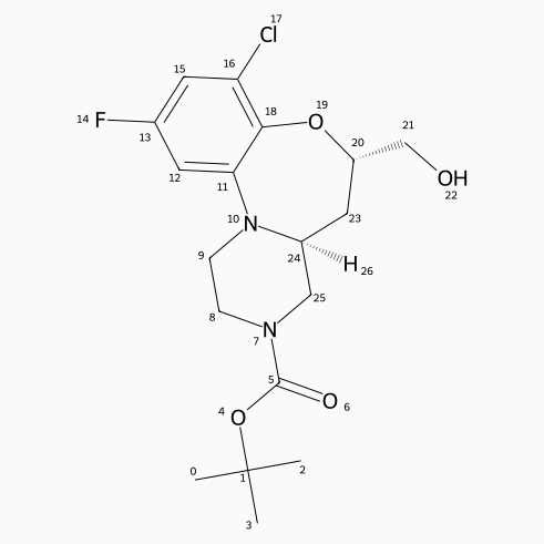 CC(C)(C)OC(=O)N1CCN2c3cc(F)cc(Cl)c3O[C@H](CO)C[C@H]2C1